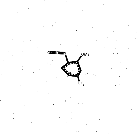 COc1cc(C(F)(F)F)ccc1N=C=O